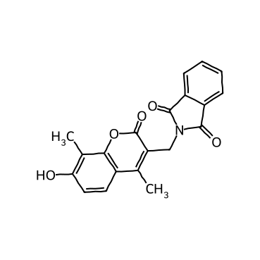 Cc1c(CN2C(=O)c3ccccc3C2=O)c(=O)oc2c(C)c(O)ccc12